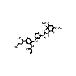 C=CC(=O)Nc1cc(N(CCC)CCO)ccc1Nc1cc(N(C)C(=O)NC2C(Cl)=C(OC)C=C(OC)C2(C)Cl)ncn1